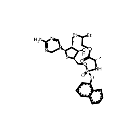 CCC(CC)COC(=O)[C@H](C)NP(=O)(OC[C@H]1S[C@@H](N2C=NC(N)=NC2)[C@@H](F)[C@H]1O)Oc1cccc2ccccc12